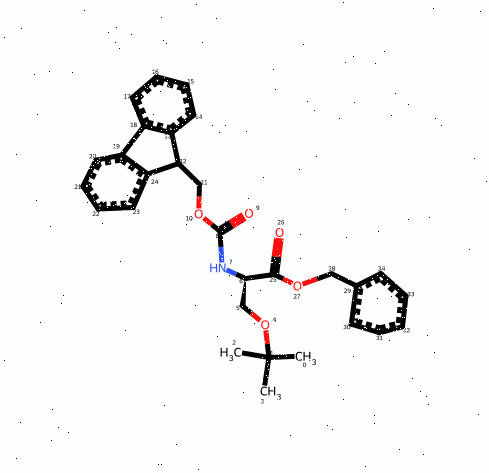 CC(C)(C)OC[C@@H](NC(=O)OCC1c2ccccc2-c2ccccc21)C(=O)OCc1ccccc1